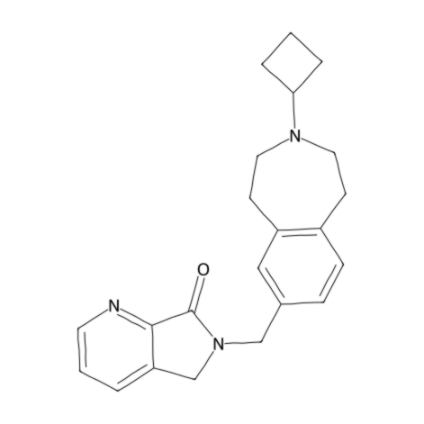 O=C1c2ncccc2CN1Cc1ccc2c(c1)CCN(C1CCC1)CC2